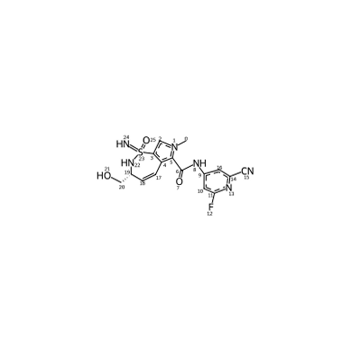 Cn1cc2c(c1C(=O)Nc1cc(F)nc(C#N)c1)C=C[C@H](CO)NS2(=N)=O